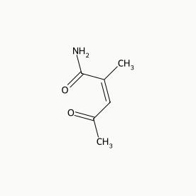 CC(=O)C=C(C)C(N)=O